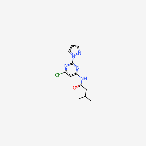 CC(C)CC(=O)Nc1cc(Cl)nc(-n2cccn2)n1